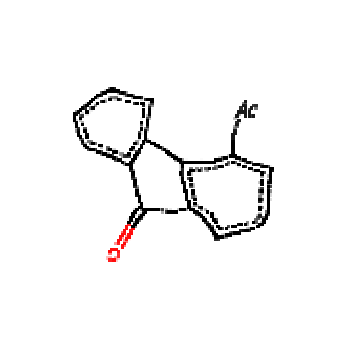 CC(=O)c1cccc2c1-c1ccccc1C2=O